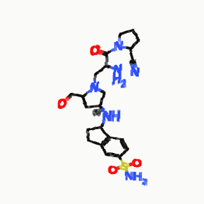 N#CC1CCCN1C(=O)C(N)CN1C[C@@H](NC2CCc3cc(S(N)(=O)=O)ccc32)CC1C=O